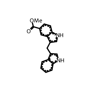 COC(=O)c1ccc2[nH]cc(Cc3c[nH]c4ccccc34)c2c1